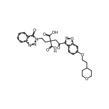 O=C(CC(CCn1nnc2ccccc2c1=O)(C(=O)O)C(=O)O)c1noc2cc(OCCC3CCOCC3)ccc12